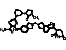 CN1CCN([C@@H]2CCCN(c3cnc(C(N)=O)c(Nc4ccc5c(c4)CN(C[C@@H]4Cc6ccc7c(C8CCC(=O)NC8=O)noc7c6C4)C5)n3)C2)C1=O